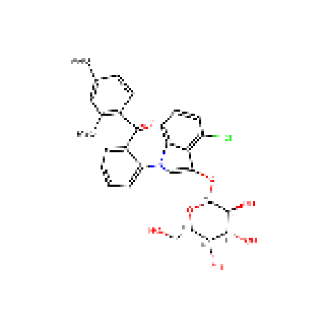 COc1ccc(C(=O)c2ccccc2-n2cc(O[C@H]3O[C@@H](CO)[C@@H](O)[C@@H](O)[C@@H]3O)c3c(Cl)cccc32)c(OC)c1